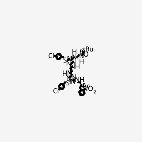 CC(=O)N(CCNc1nc(NCCNc2nc(NCCNC(=O)OC(C)(C)C)nc(SCc3ccc(Cl)cc3)n2)nc(SCc2ccc(Cl)cc2)n1)Cc1ccccc1[N+](=O)[O-]